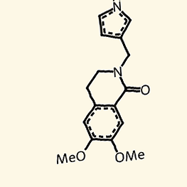 COc1cc2c(cc1OC)C(=O)N(Cc1cc[nH]c1)CC2